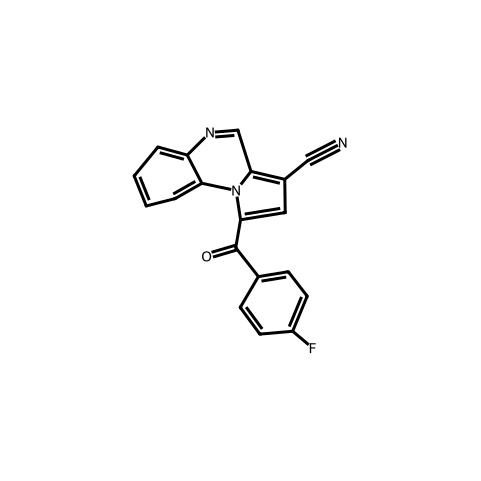 N#Cc1cc(C(=O)c2ccc(F)cc2)n2c1cnc1ccccc12